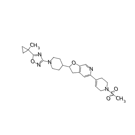 CC1(c2nc(N3CCC(C4Cc5cc(C6=CCN(S(C)(=O)=O)CC6)ncc5O4)CC3)no2)CC1